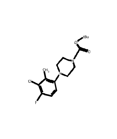 Cc1c(N2CCN(C(=O)OC(C)(C)C)CC2)ccc(F)c1Cl